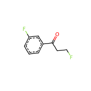 O=C(CCF)c1cccc(F)c1